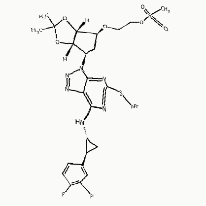 CCCSc1nc(N[C@@H]2C[C@H]2c2ccc(F)c(F)c2)c2nnn([C@@H]3C[C@H](OCCOS(C)(=O)=O)[C@H]4OC(C)(C)O[C@H]43)c2n1